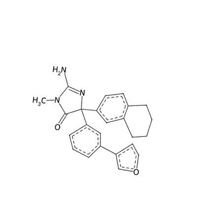 CN1C(=O)C(c2cccc(-c3ccoc3)c2)(c2ccc3c(c2)CCCC3)N=C1N